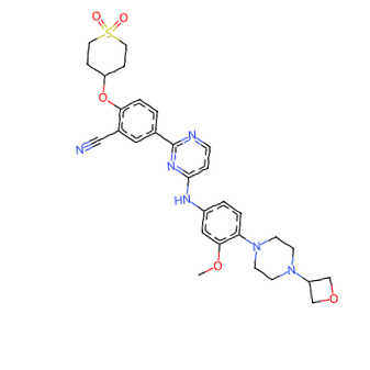 COc1cc(Nc2ccnc(-c3ccc(OC4CCS(=O)(=O)CC4)c(C#N)c3)n2)ccc1N1CCN(C2COC2)CC1